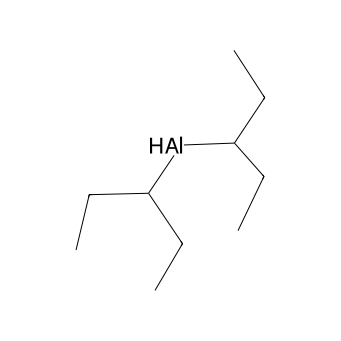 CC[CH](CC)[AlH][CH](CC)CC